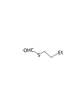 CCCCS[C]=O